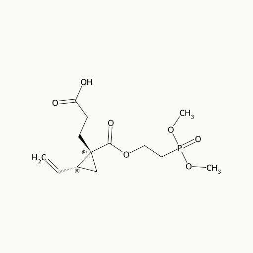 C=C[C@H]1C[C@@]1(CCC(=O)O)C(=O)OCCP(=O)(OC)OC